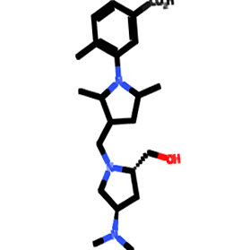 Cc1ccc(C(=O)O)cc1N1C(C)CC(CN2C[C@H](N(C)C)C[C@H]2CO)C1C